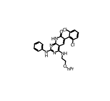 CCCOCCNc1nc(Nc2ccccc2)nc2[nH]c(=O)c(-c3c(Cl)cccc3Cl)cc12